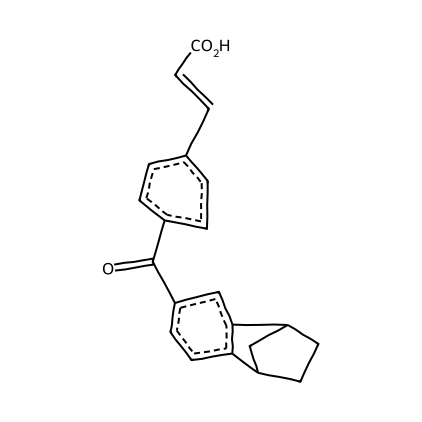 O=C(O)/C=C/c1ccc(C(=O)c2ccc3c(c2)C2CCC3C2)cc1